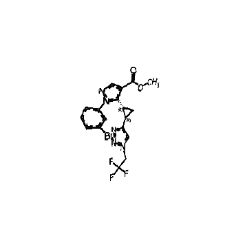 COC(=O)c1cnn(-c2cccc(Br)c2)c1[C@@H]1C[C@H]1c1cn(CC(F)(F)F)nn1